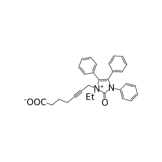 CC[N+]1(CC#CCCCC(=O)[O-])C(=O)N(c2ccccc2)C(c2ccccc2)=C1c1ccccc1